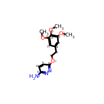 COc1cc(CCOc2ccc(N)nn2)cc(OC)c1OC